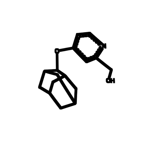 OCc1cc(OC2C3CC4CC(C3)CC2C4)ccn1